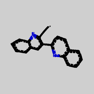 [CH2]c1nc2ccccc2cc1-c1ccc2ccccc2n1